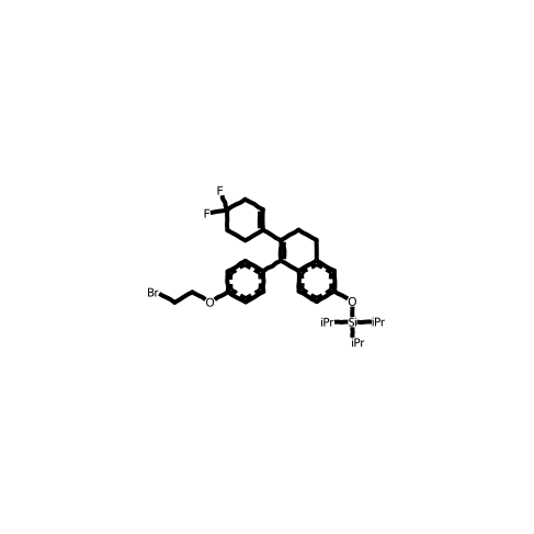 CC(C)[Si](Oc1ccc2c(c1)CCC(C1=CCC(F)(F)CC1)=C2c1ccc(OCCBr)cc1)(C(C)C)C(C)C